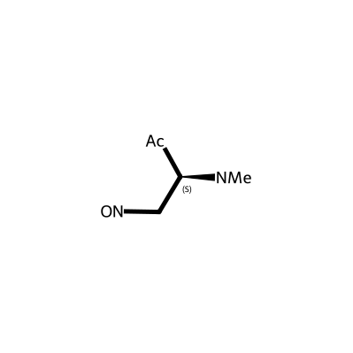 CN[C@@H](CN=O)C(C)=O